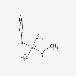 CO[Si](C)(C)SC#N